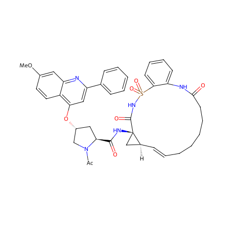 COc1ccc2c(O[C@@H]3C[C@@H](C(=O)N[C@]45C[C@@H]4/C=C/CCCCCC(=O)Nc4ccccc4S(=O)(=O)NC5=O)N(C(C)=O)C3)cc(-c3ccccc3)nc2c1